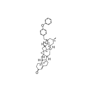 C[C@H]1C[C@H]2O[C@@]34CC[C@H]5[C@H]6CCC7=CC(=O)CC[C@]7(C)[C@H]6CC56CC63C[C@@H]4[C@@H]2N(Cc2ccc(Oc3ccccc3)cc2)C1